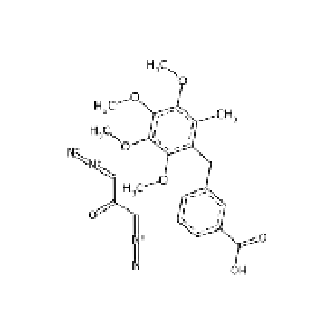 COc1c(C)c(Cc2cccc(C(=O)O)c2)c(OC)c(OC)c1OC.[N-]=[N+]=CC(=O)C=[N+]=[N-]